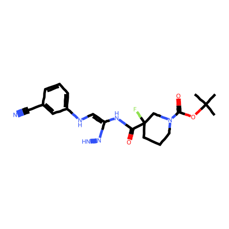 CC(C)(C)OC(=O)N1CCCC(F)(C(=O)N/C(=C/Nc2cccc(C#N)c2)N=N)C1